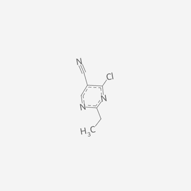 CCc1ncc(C#N)c(Cl)n1